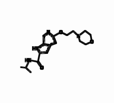 CC(C)NC(=O)c1cc2cc(OCCN3CCOCC3)ncc2[nH]1